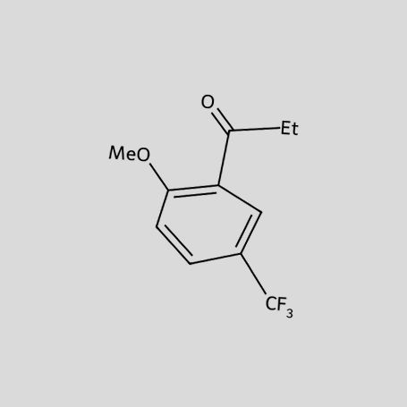 CCC(=O)c1cc(C(F)(F)F)ccc1OC